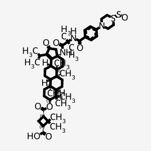 CC(C)C1=C2[C@H]3CC[C@H]4[C@]5(C)CC[C@H](OC(=O)[C@H]6C[C@@H](C(=O)O)C6(C)C)C(C)(C)[C@H]5CC[C@]4(C)[C@@]3(C)CC[C@]2(NC(=O)C(C)(C)NC(=O)c2ccc(N3CCS(=S=O)CC3)cc2)CC1=O